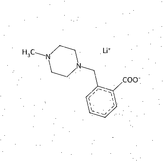 CN1CCN(Cc2ccccc2C(=O)[O-])CC1.[Li+]